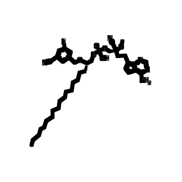 CCCCCCCCCCCCCCCCC[C@@H](COP(=O)(O)OC[C@](C#N)(CCc1ccc2c(N)ncnn12)OC)OCc1cc(F)cc(C#N)c1